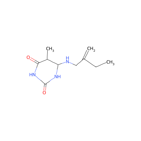 C=C(CC)CNC1NC(=O)NC(=O)C1C